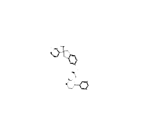 Cc1cc(F)cc(C2CCC(C)(C)C(=O)N2CC(=O)Nc2ccc3c(c2)CC2(C3)C(=O)Nc3ncccc32)c1